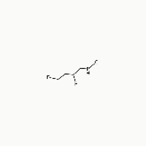 FCCC(F)CPCl